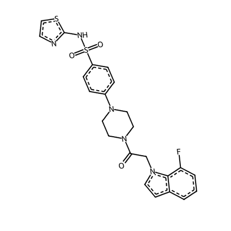 O=C(Cn1ccc2cccc(F)c21)N1CCN(c2ccc(S(=O)(=O)Nc3nccs3)cc2)CC1